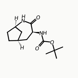 CC(C)(C)OC(=O)N[C@H]1C[C@H]2CC[C@H](C2)NC1=O